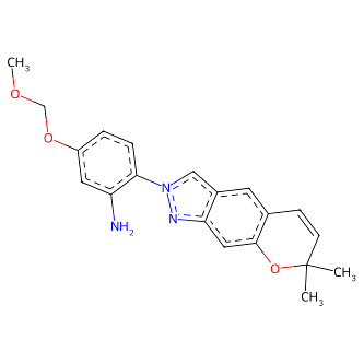 COCOc1ccc(-n2cc3cc4c(cc3n2)OC(C)(C)C=C4)c(N)c1